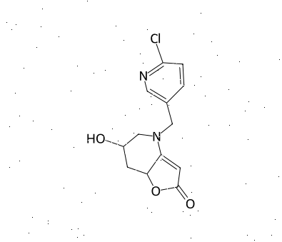 O=C1C=C2C(CC(O)CN2Cc2ccc(Cl)nc2)O1